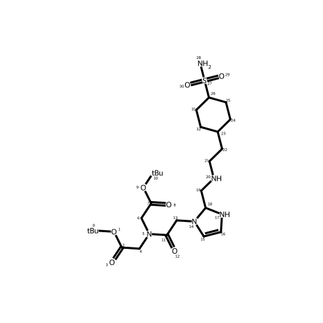 CC(C)(C)OC(=O)CN(CC(=O)OC(C)(C)C)C(=O)CN1C=CNC1CNCCC1CCC(S(N)(=O)=O)CC1